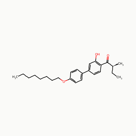 CCCCCCCCOc1ccc(-c2ccc(C(=O)[C@@H](C)CC)c(O)c2)cc1